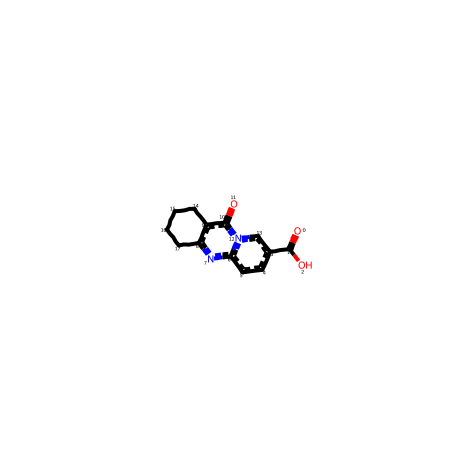 O=C(O)c1ccc2nc3c(c(=O)n2c1)CCCC3